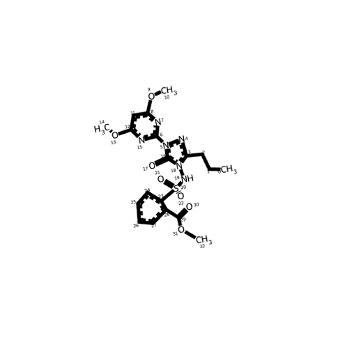 CCCc1nn(-c2nc(OC)cc(OC)n2)c(=O)n1NS(=O)(=O)c1ccccc1C(=O)OC